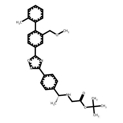 COCc1cc(-c2nc(-c3ccc([C@@H](C)NCC(=O)OC(C)(C)C)cc3)no2)ccc1-c1ccccc1C